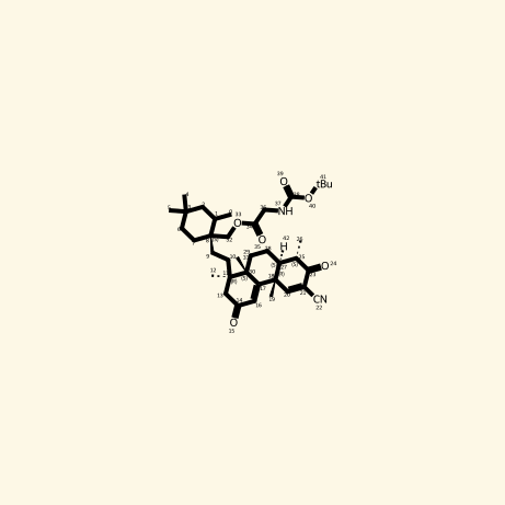 CC1CC(C)(C)CC[C@@]1(CC[C@]1(C)CC(=O)C=C2[C@@]3(C)C=C(C#N)C(=O)[C@@H](C)[C@@H]3CC[C@]21C)COC(=O)CNC(=O)OC(C)(C)C